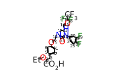 CCOC(Cc1ccc(OCCN(CCCOC(F)(F)C(F)(F)F)C(=O)Nc2ccc(F)c(F)c2)cc1)C(=O)O